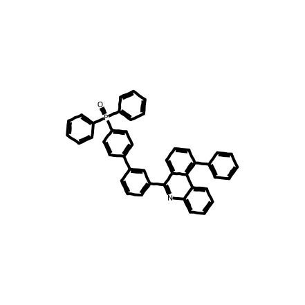 O=P(c1ccccc1)(c1ccccc1)c1ccc(-c2cccc(-c3nc4ccccc4c4c(-c5ccccc5)cccc34)c2)cc1